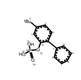 CC(C)(C)c1ccc(-c2ccccc2)c(OP(=O)(O)O)c1